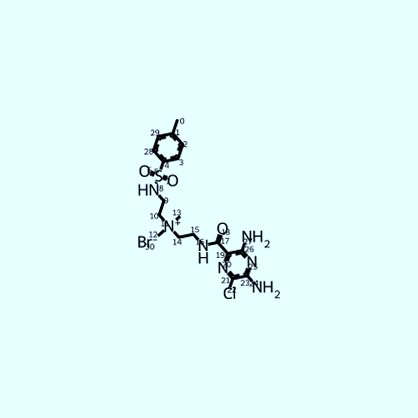 Cc1ccc(S(=O)(=O)NCC[N+](C)(C)CCNC(=O)c2nc(Cl)c(N)nc2N)cc1.[Br-]